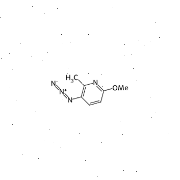 COc1ccc(N=[N+]=[N-])c(C)n1